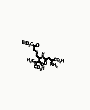 CCOC(=O)C(=O)CSCC(NC(=O)CC(N)C(=O)O)C(=O)N(C)C(=O)O